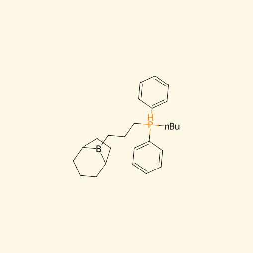 CCCC[PH](CCCB1C2CCCC1CC2)(c1ccccc1)c1ccccc1